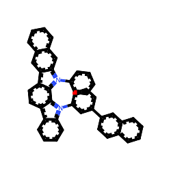 c1ccc(-n2c3cc4ccccc4cc3c3ccc4c5ccccc5n(-c5cccc(-c6ccc7ccccc7c6)c5)c4c32)cc1